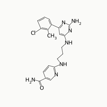 Cc1c(Cl)cccc1-c1cc(NCCCNc2ccc(C(N)=O)cn2)nc(N)n1